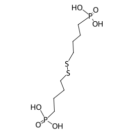 O=P(O)(O)CCCCSSCCCCP(=O)(O)O